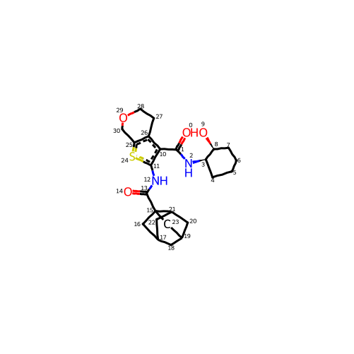 O=C(N[C@@H]1CCCC[C@@H]1O)c1c(NC(=O)C23CC4CC(CC2C4)C3)sc2c1CCOC2